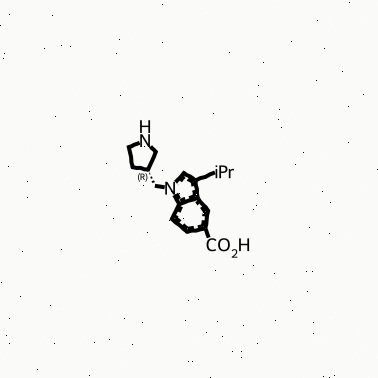 CC(C)c1cn(C[C@@H]2CCNC2)c2ccc(C(=O)O)cc12